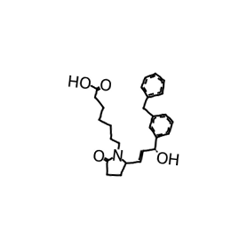 O=C(O)CCCCCCN1C(=O)CCC1/C=C/[C@@H](O)c1cccc(Cc2ccccc2)c1